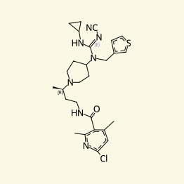 Cc1cc(Cl)nc(C)c1C(=O)NCC[C@@H](C)N1CCC(N(Cc2ccsc2)/C(=N/C#N)NC2CC2)CC1